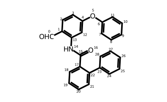 O=Cc1ccc(Oc2ccccc2)cc1NC(=O)c1ccccc1-c1ccccc1